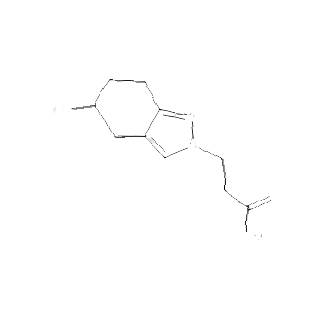 COC(=O)CCn1cc2c(n1)CCC(C=O)C2